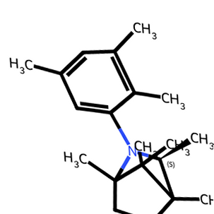 Cc1cc(C)c(C)c(N2[C@@H](C)C3(C)CCC2(C)C3(C)C)c1